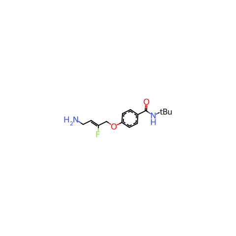 CC(C)(C)NC(=O)c1ccc(OCC(F)=CCN)cc1